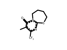 Cc1c(C(F)(F)F)nc2n(c1=O)CCCCS2